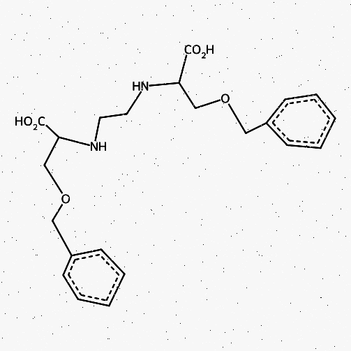 O=C(O)C(COCc1ccccc1)NCCNC(COCc1ccccc1)C(=O)O